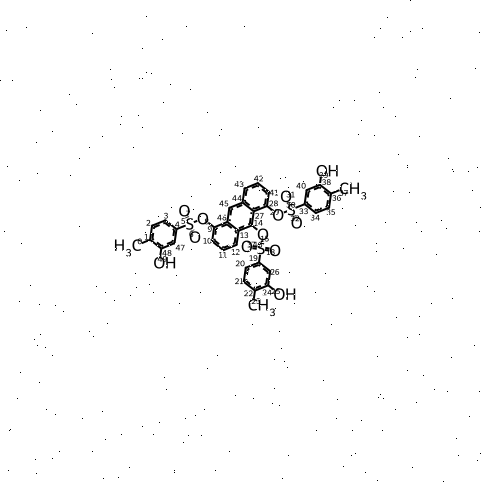 Cc1ccc(S(=O)(=O)Oc2cccc3c(OS(=O)(=O)c4ccc(C)c(O)c4)c4c(OS(=O)(=O)c5ccc(C)c(O)c5)cccc4cc23)cc1O